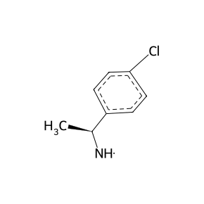 C[C@H]([NH])c1ccc(Cl)cc1